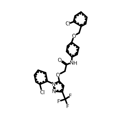 O=C(COc1cc(C(F)(F)F)nn1-c1ccccc1Cl)Nc1ccc(OCc2ccccc2Cl)cc1